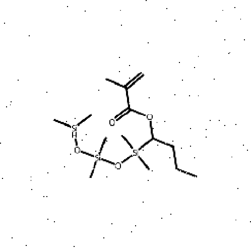 C=C(C)C(=O)OC(CCC)[Si](C)(C)O[Si](C)(C)O[SiH](C)C